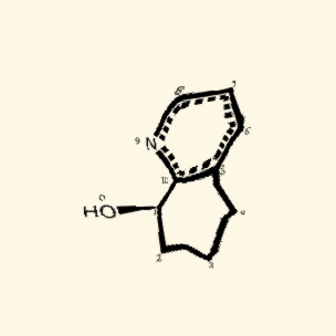 O[C@@H]1CCCc2cccnc21